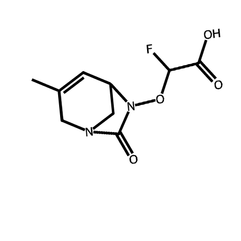 CC1=CC2CN(C1)C(=O)N2OC(F)C(=O)O